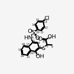 CC(Sc1cc(NS(=O)(=O)c2ccc(Cl)cc2)c2ccccc2c1O)C(=O)O